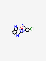 N#Cc1cc(Cl)ccc1N1CC(C#N)N(c2cncc3ccccc23)C1=O